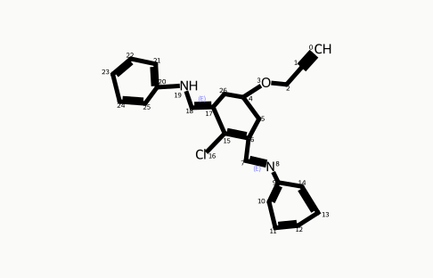 C#CCOC1CC(/C=N/c2ccccc2)=C(Cl)C(=C/Nc2ccccc2)/C1